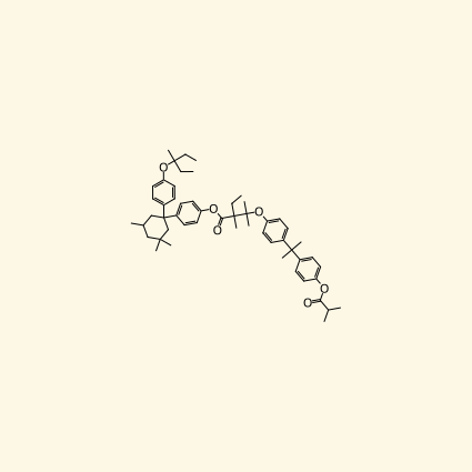 CCC(C)(CC)Oc1ccc(C2(c3ccc(OC(=O)C(C)(CC)C(C)(C)Oc4ccc(C(C)(C)c5ccc(OC(=O)C(C)C)cc5)cc4)cc3)CC(C)CC(C)(C)C2)cc1